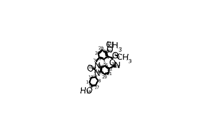 COC(=O)c1cc(Cn2c(=O)n(C3CCC(O)CC3)c3ccc(C#N)cc32)ccc1OC